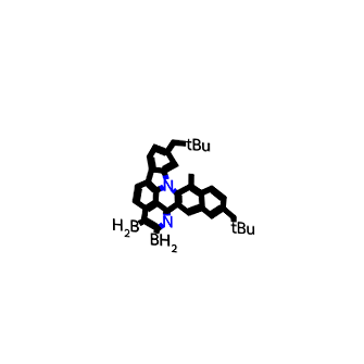 Bc1nc2c3cc4cc(CC(C)(C)C)ccc4c(C)c3n3c4cc(CC(C)(C)C)ccc4c4ccc(c1B)c2c43